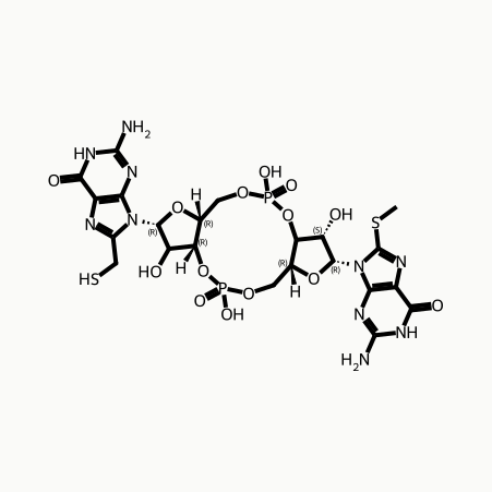 CSc1nc2c(=O)[nH]c(N)nc2n1[C@@H]1O[C@@H]2COP(=O)(O)O[C@@H]3C(O)[C@H](n4c(CS)nc5c(=O)[nH]c(N)nc54)O[C@@H]3COP(=O)(O)OC2[C@@H]1O